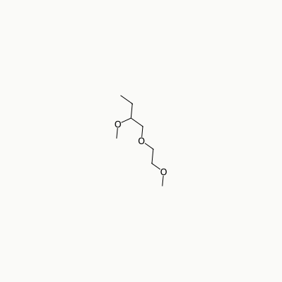 CCC(COCCOC)OC